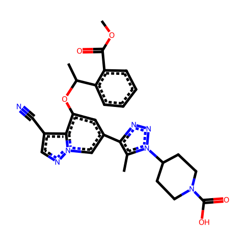 COC(=O)c1ccccc1C(C)Oc1cc(-c2nnn(C3CCN(C(=O)O)CC3)c2C)cn2ncc(C#N)c12